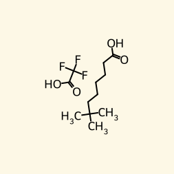 CC(C)(C)CCCCCC(=O)O.O=C(O)C(F)(F)F